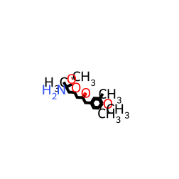 COC(=O)C(C)(N)CCCC(=O)Cc1cc(C)c(OC)c(C)c1